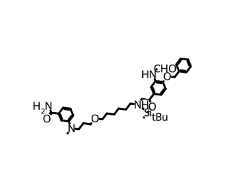 CN(CCCOCCCCCCNC[C@H](O[Si](C)(C)C(C)(C)C)c1ccc(OCc2ccccc2)c(NC=O)c1)c1cccc(C(N)=O)c1